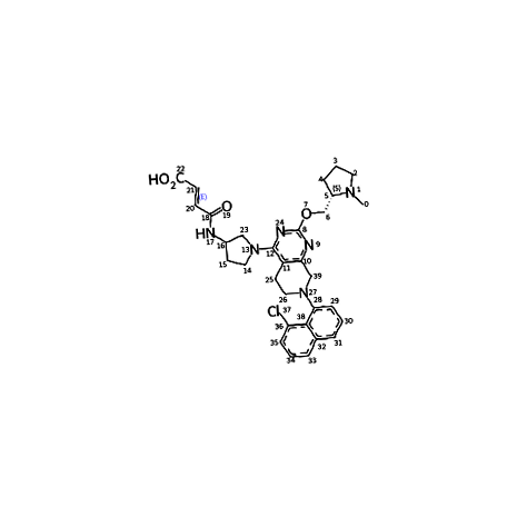 CN1CCC[C@H]1COc1nc2c(c(N3CCC(NC(=O)/C=C/C(=O)O)C3)n1)CCN(c1cccc3cccc(Cl)c13)C2